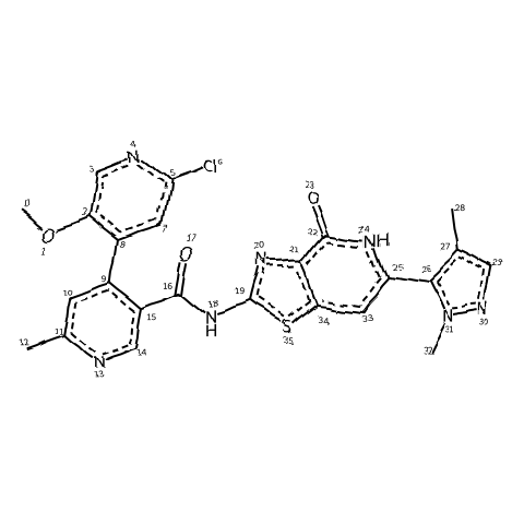 COc1cnc(Cl)cc1-c1cc(C)ncc1C(=O)Nc1nc2c(=O)[nH]c(-c3c(C)cnn3C)cc2s1